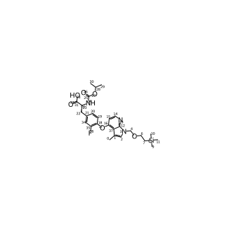 Cc1cn(COCC[Si](C)(C)C)c2nccc(Oc3ccc(C[C@H](NC(=O)OC(C)C)C(=O)O)cc3F)c12